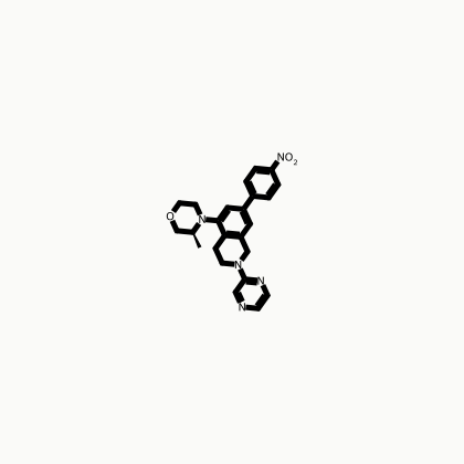 C[C@H]1COCCN1c1cc(-c2ccc([N+](=O)[O-])cc2)cc2c1CCN(c1cnccn1)C2